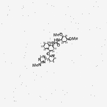 CNc1ncnc(-c2cccnc2Oc2ccc(NC(=O)Nc3ccc(OC)cc3OC)c3ccccc23)n1